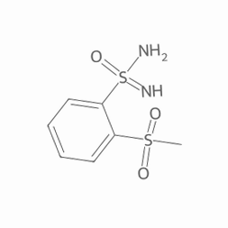 CS(=O)(=O)c1ccccc1S(=N)(N)=O